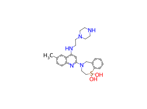 Cc1ccc2nc(N3CCS(O)(O)c4ccccc4C3)cc(NCCN3CCNCC3)c2c1